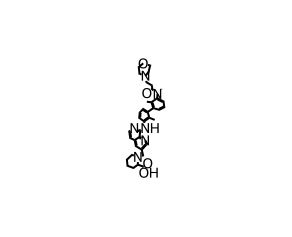 Cc1c(Nc2nccc3cc(CN4CCCCC4C(=O)O)cnc23)cccc1-c1cccc(N(C)C(=O)CCN2CCOCC2)c1C